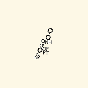 O=C(COc1ccc(-n2ccnc2)cc1OC(F)(F)F)Nc1ccc(-c2ccccc2)cc1